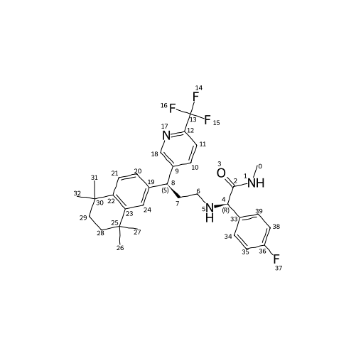 CNC(=O)[C@H](NCC[C@H](c1ccc(C(F)(F)F)nc1)c1ccc2c(c1)C(C)(C)CCC2(C)C)c1ccc(F)cc1